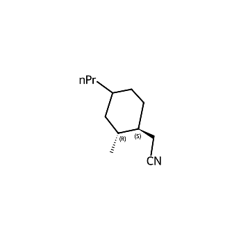 CCCC1CC[C@@H](CC#N)[C@H](C)C1